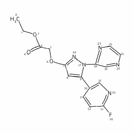 CCOC(=O)COc1cc(-c2ccc(F)nc2)n(-c2cnccn2)n1